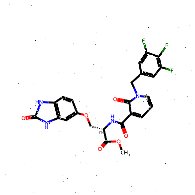 COC(=O)[C@H](COc1ccc2[nH]c(=O)[nH]c2c1)NC(=O)c1cccn(Cc2cc(F)c(F)c(F)c2)c1=O